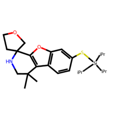 CC(C)[Si](Sc1ccc2c3c(oc2c1)C1(CCOC1)NCC3(C)C)(C(C)C)C(C)C